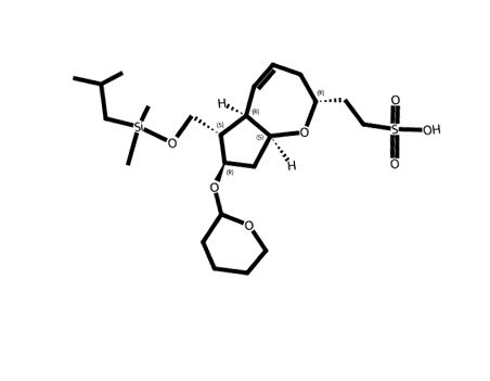 CC(C)C[Si](C)(C)OC[C@@H]1[C@H]2C=CC[C@H](CCS(=O)(=O)O)O[C@H]2C[C@H]1OC1CCCCO1